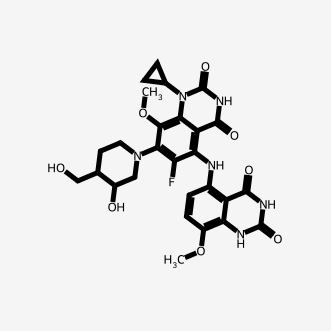 COc1ccc(Nc2c(F)c(N3CCC(CO)C(O)C3)c(OC)c3c2c(=O)[nH]c(=O)n3C2CC2)c2c(=O)[nH]c(=O)[nH]c12